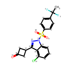 CC(F)(F)c1ccc(S(=O)(=O)n2nc(C3CC(=O)C3)c3c(Cl)cccc32)cc1